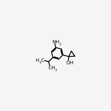 CC(C)c1cc(N)cc(C2(O)CC2)c1